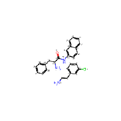 NCCc1cccc(Cl)c1.N[C@@H](Cc1ccccc1)C(=O)Nc1ccc2ccccc2c1